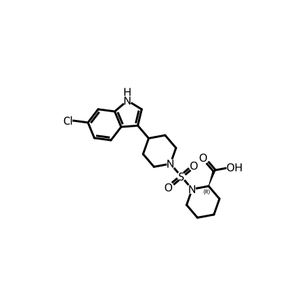 O=C(O)[C@H]1CCCCN1S(=O)(=O)N1CCC(c2c[nH]c3cc(Cl)ccc23)CC1